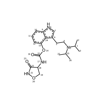 CC(C)N(CCc1c[nH]c2cccc(OC(=O)NC3CONC3=O)c12)C(C)C